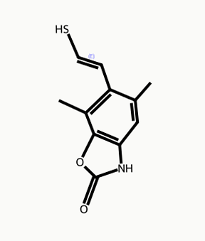 Cc1cc2[nH]c(=O)oc2c(C)c1/C=C/S